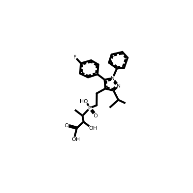 CC(C)c1nn(-c2ccccc2)c(-c2ccc(F)cc2)c1CCP(=O)(O)C(C)C(O)C(=O)O